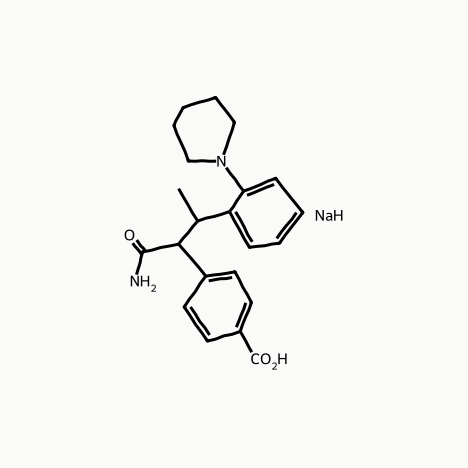 CC(c1ccccc1N1CCCCC1)C(C(N)=O)c1ccc(C(=O)O)cc1.[NaH]